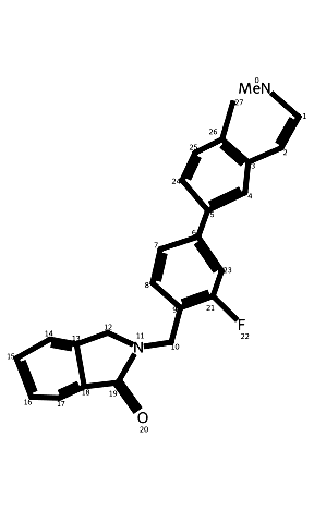 CN/C=C\c1cc(-c2ccc(CN3Cc4ccccc4C3=O)c(F)c2)ccc1C